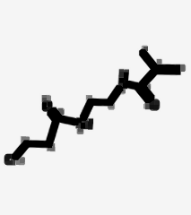 C=C(C)C(=O)NCCNC(=O)CCCl